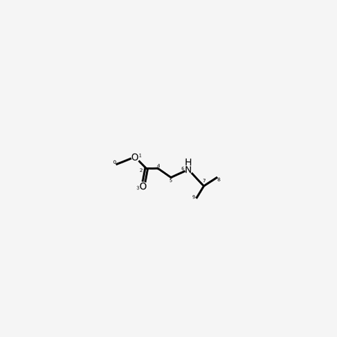 COC(=O)CCNC(C)C